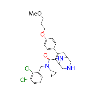 COCCCOc1ccc(C2=C(C(=O)N(Cc3cccc(Cl)c3Cl)C3CC3)C3CNCC(C2)N3)cc1